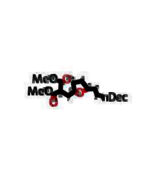 CCCCCCCCCCCCC1CCC(CC(C(=O)OC)C(=O)OC)O1